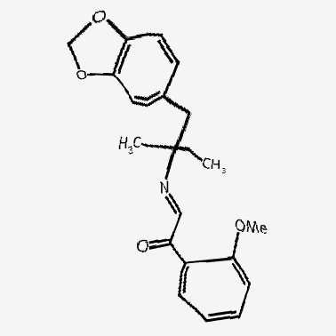 COc1ccccc1C(=O)/C=N/C(C)(C)Cc1ccc2c(c1)OCO2